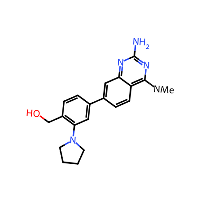 CNc1nc(N)nc2cc(-c3ccc(CO)c(N4CCCC4)c3)ccc12